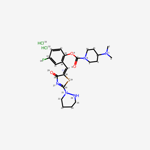 CN(C)C1CCN(C(=O)Oc2ccc(F)cc2/C=C2/SC(N3CCCCN3)=NC2=O)CC1.Cl.Cl